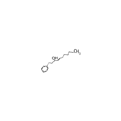 CCCCCC/C=C/C(O)CCc1ccccc1